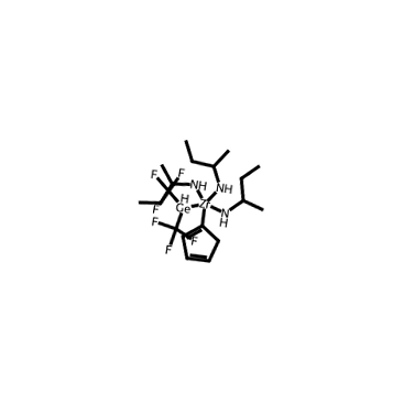 CCC(C)[NH][Zr]([NH]C(C)CC)([NH]C(C)CC)([C]1=CC=CC1)[GeH]([C](F)(F)F)[C](F)(F)F